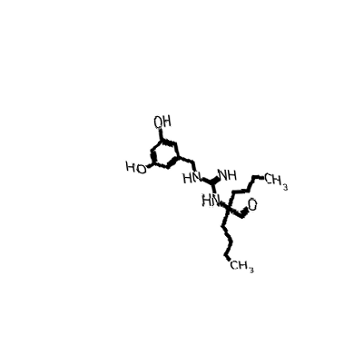 CCCCC(C=O)(CCCC)NC(=N)NCc1cc(O)cc(O)c1